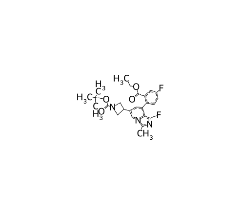 CCOC(=O)c1cc(F)ccc1-c1cc(C2CN(C(=O)OC(C)(C)C)C2)cn2c(C)nc(F)c12